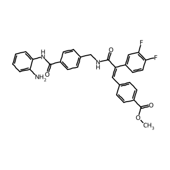 COC(=O)c1ccc(/C=C(/C(=O)NCc2ccc(C(=O)Nc3ccccc3N)cc2)c2ccc(F)c(F)c2)cc1